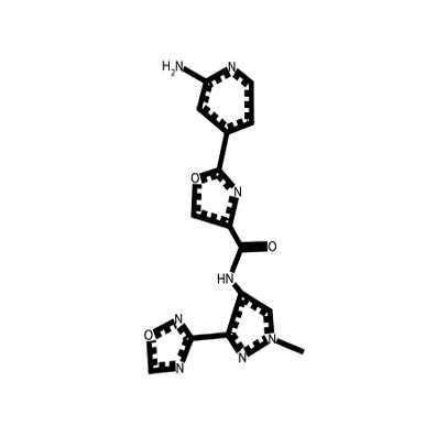 Cn1cc(NC(=O)c2coc(-c3ccnc(N)c3)n2)c(-c2ncon2)n1